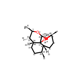 CC(C)C1O[C@H]2O[C@@]3(C)CC[C@@H]4[C@@H](C)CC[C@H]([C@@H]1C)C24OO3